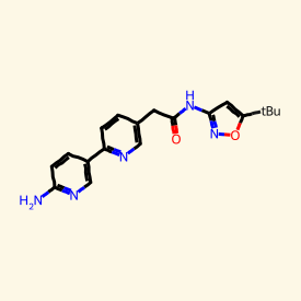 CC(C)(C)c1cc(NC(=O)Cc2ccc(-c3ccc(N)nc3)nc2)no1